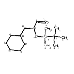 CC(C)(C)[Si](C)(C)O[C@H](C=O)CC1CCCCC1